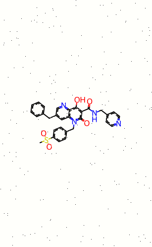 CS(=O)(=O)c1ccc(Cn2c(=O)c(C(=O)NCc3ccncc3)c(O)c3ncc(Cc4ccccc4)cc32)cc1